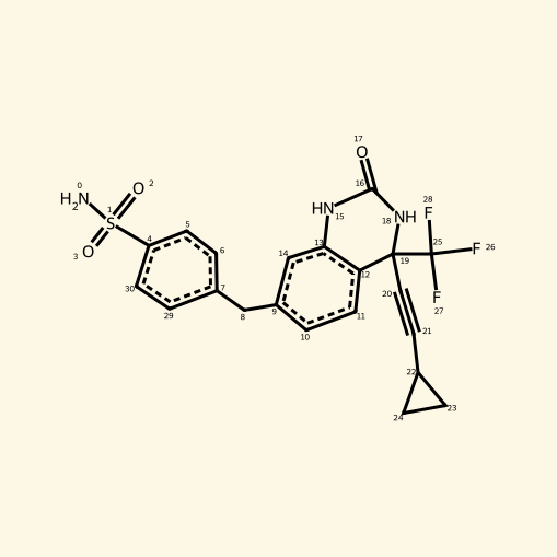 NS(=O)(=O)c1ccc(Cc2ccc3c(c2)NC(=O)NC3(C#CC2CC2)C(F)(F)F)cc1